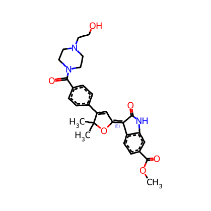 COC(=O)c1ccc2c(c1)NC(=O)/C2=C1\C=C(c2ccc(C(=O)N3CCN(CCO)CC3)cc2)C(C)(C)O1